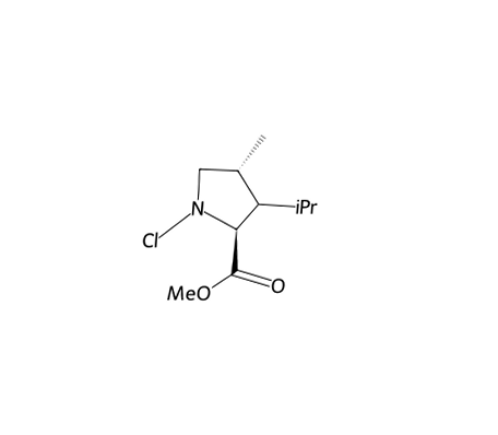 COC(=O)[C@@H]1C(C(C)C)[C@@H](C)CN1Cl